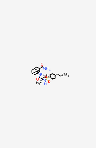 CCCc1ccc(S(=O)(=O)NC(C)(C)C(=O)NC23CC4CC(C2)CC(C(N)=O)(C4)C3)cc1